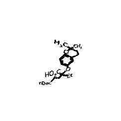 CCCCCCCCCCCCC(CC)(Oc1ccc2c(c1)CCC(C)(C)O2)C(=O)O